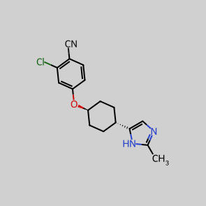 Cc1ncc([C@H]2CC[C@H](Oc3ccc(C#N)c(Cl)c3)CC2)[nH]1